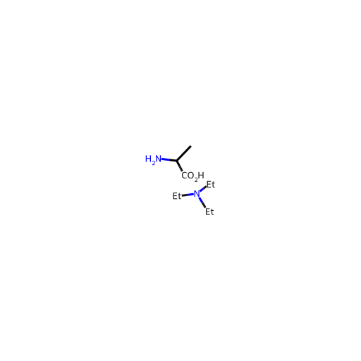 CC(N)C(=O)O.CCN(CC)CC